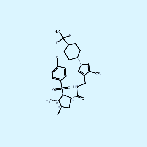 C[C@H]1[C@H](F)C[C@@H](C(=O)NCc2cn([C@H]3CC[C@H](C(C)(F)F)CC3)nc2C(F)(F)F)N1S(=O)(=O)c1ccc(F)cc1